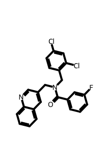 O=C(c1cccc(F)c1)N(Cc1cnc2ccccc2c1)Cc1ccc(Cl)cc1Cl